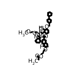 C=CC(=O)OCCCOc1ccc2cc(C(=O)Oc3ccc(OCc4ccc(-c5ccccc5)cc4)c(Cl)c3CNN(COCCOC)c3nc4ccccc4s3)ccc2c1F